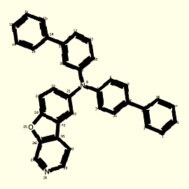 c1ccc(-c2ccc(N(c3cccc(-c4ccccc4)c3)c3ccc4oc5cnccc5c4c3)cc2)cc1